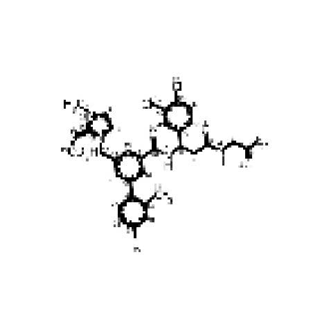 CCC(=O)CNC(=O)CC(NC(=O)c1cc(Cn2ccn(C)/c2=N/C(=O)O)cc(-c2ccc(F)cc2C(F)(F)F)c1)c1ccc(Cl)c(Cl)c1